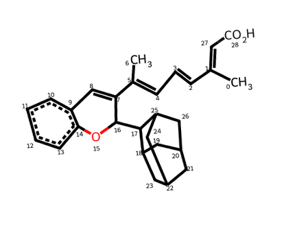 CC(C=C/C=C(\C)C1=Cc2ccccc2OC1C1C2CC3CC(C2)CC1C3)=CC(=O)O